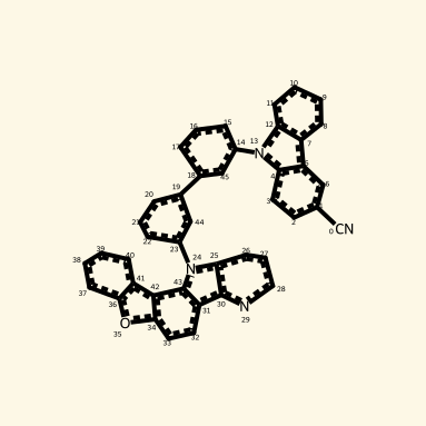 N#Cc1ccc2c(c1)c1ccccc1n2-c1cccc(-c2cccc(-n3c4cccnc4c4ccc5oc6ccccc6c5c43)c2)c1